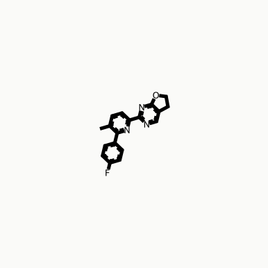 Cc1ccc(-c2ncc3c(n2)OCC3)nc1-c1ccc(F)cc1